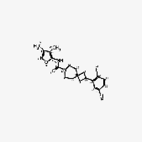 Cc1noc(NC(=O)N2CCC3(CC2)CC(c2cc(Cl)ccc2F)C3)c1C